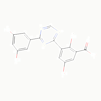 O=C(O)c1cc(O)cc(-c2ncnc(-c3cc(O)cc(O)c3)n2)c1O